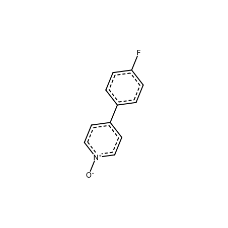 [O-][n+]1ccc(-c2ccc(F)cc2)cc1